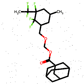 CC1CC(COCOC(=O)C23CC4CC(CC(C4)C2)C3)C(F)(F)C(F)(C(C)(F)F)C1